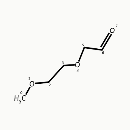 COCCOC[C]=O